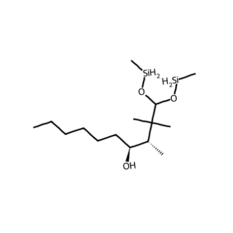 CCCCCC[C@H](O)[C@@H](C)C(C)(C)C(O[SiH2]C)O[SiH2]C